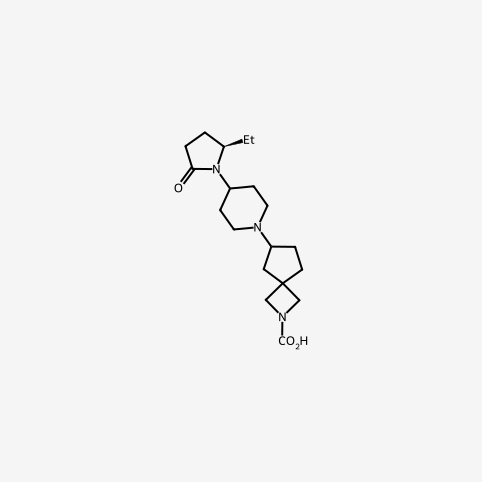 CC[C@@H]1CCC(=O)N1C1CCN(C2CCC3(C2)CN(C(=O)O)C3)CC1